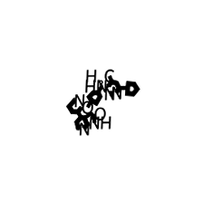 Cc1cc(-c2ccccc2)nnc1Nc1ccc(Oc2ncccc2-c2ccnc3c2CC(=O)N3)cc1